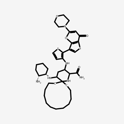 NC(=O)C1NC2(CCCCCCCCCCCC2)C(N[C@H]2CCCC[C@H]2N)CC1Nc1ccsc1-c1csc2c(=O)cc(N3CCOCC3)oc12